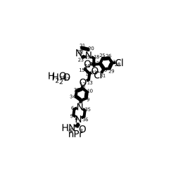 CCCNC(=O)N1CCN(c2ccc(OCC3COC(Cn4ccnc4)(c4ccc(Cl)cc4Cl)O3)cc2)CC1.O.O